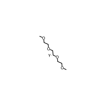 COCCOCCOCCOC.[Y]